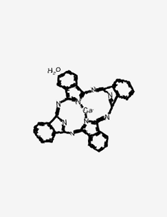 O.c1ccc2c(c1)C1=NC2=Nc2c3ccccc3c3[n]2[Ga][n]2c(c4ccccc4c2=NC2=NC(=N3)c3ccccc32)=N1